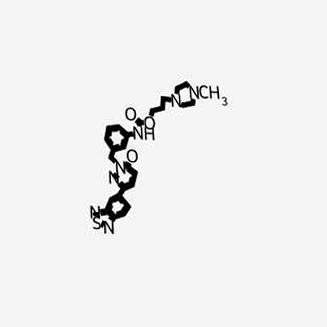 CN1CCN(CCCOC(=O)Nc2cccc(Cn3nc(-c4ccc5nsnc5c4)ccc3=O)c2)CC1